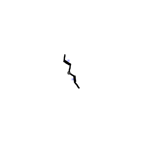 C/C=C/O/C=C/C